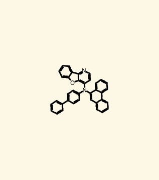 c1ccc(-c2ccc(N(c3cc4ccccc4c4ccccc34)c3ccnc4c3oc3ccccc34)cc2)cc1